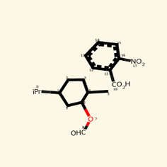 CC(C)C1CCC(C)C(OC=O)C1.O=C(O)c1ccccc1[N+](=O)[O-]